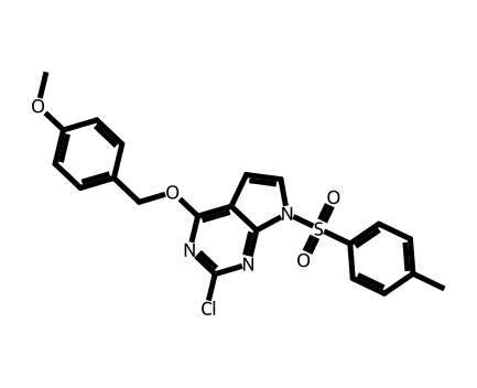 COc1ccc(COc2nc(Cl)nc3c2ccn3S(=O)(=O)c2ccc(C)cc2)cc1